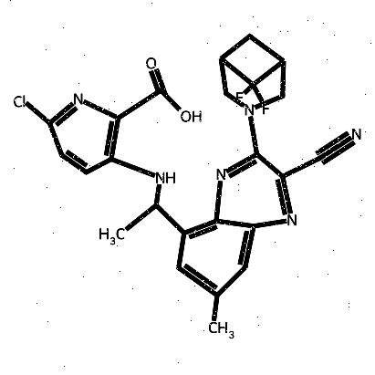 Cc1cc(C(C)Nc2ccc(Cl)nc2C(=O)O)c2nc(N3CC4CC(C3)C4(F)F)c(C#N)nc2c1